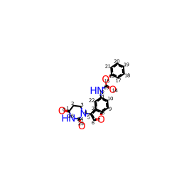 O=C1CCN(c2coc3ccc(NC(=O)Oc4ccccc4)cc23)C(=O)N1